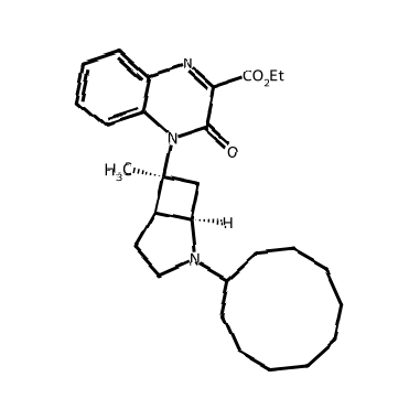 CCOC(=O)c1nc2ccccc2n([C@@]2(C)C[C@@H]3C2CCN3C2CCCCCCCCC2)c1=O